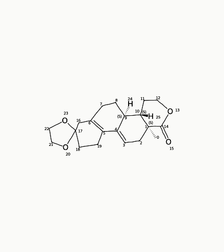 C[C@]12CC=C3C4=C(CC[C@H]3[C@@H]1CCOC2=O)CC1(CC4)OCCO1